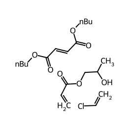 C=CC(=O)OCC(C)O.C=CCl.CCCCOC(=O)C=CC(=O)OCCCC